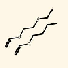 C=COCCCC.C=COCCOCC